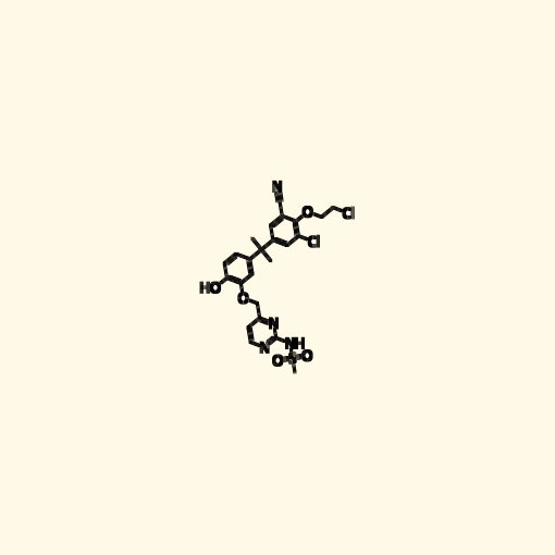 CC(C)(c1cc(Cl)c(OCCCl)c(C#N)c1)c1ccc(O)c(OCc2ccnc(NS(C)(=O)=O)n2)c1